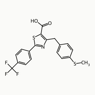 CSc1ccc(Cc2nc(-c3ccc(C(F)(F)F)cc3)sc2C(=O)O)cc1